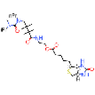 CCCN(CC(C)(C)C(C)(C)C(=O)NCCOC(=O)CCCC[C@@H]1SC[C@@H]2NC(=O)N[C@@]21C)C(=O)N(C)C(C)C